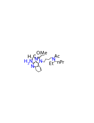 CCCC(CC)N(CCCCN1c2c3c(nc(N)c2N(C)[C@H]1CCOC)CCC=C3)C(C)=O